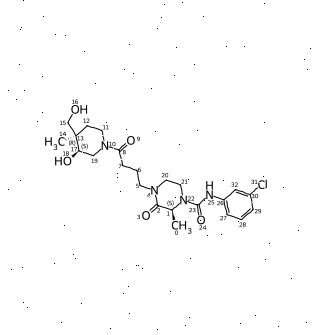 C[C@H]1C(=O)N(CCCC(=O)N2CC[C@](C)(CO)[C@H](O)C2)CCN1C(=O)Nc1cccc(Cl)c1